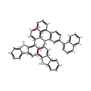 c1ccc(-c2ccc(-c3cccc4ccccc34)cc2N(c2ccc3oc4ccccc4c3c2)c2ccccc2-c2cccc3c2sc2ccccc23)cc1